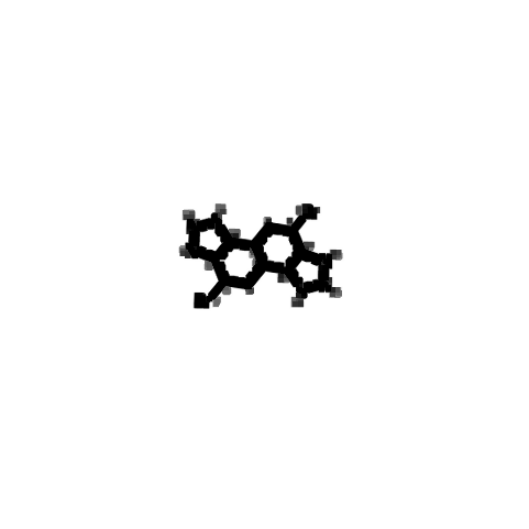 Brc1cc2c(cc(Br)c3nnsc32)c2snnc12